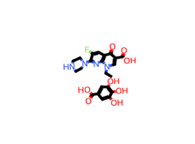 CCn1cc(C(=O)O)c(=O)c2cc(F)c(N3CCNCC3)nc21.O=C(O)c1cc(O)c(O)c(O)c1